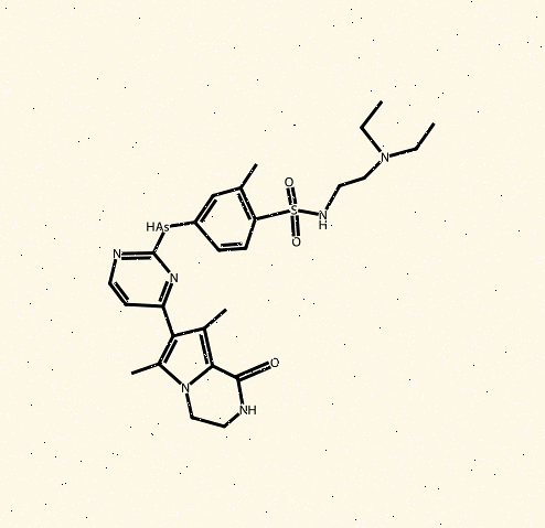 CCN(CC)CCNS(=O)(=O)c1ccc([AsH]c2nccc(-c3c(C)c4n(c3C)CCNC4=O)n2)cc1C